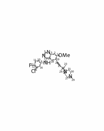 COc1cc2ncnc(Nc3ccc(F)c(Cl)c3)c2cc1C#CC(C)(C)N1CCN(C)CC1